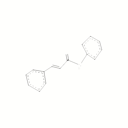 O=C(C=Cc1ccccc1)Nc1ccccc1